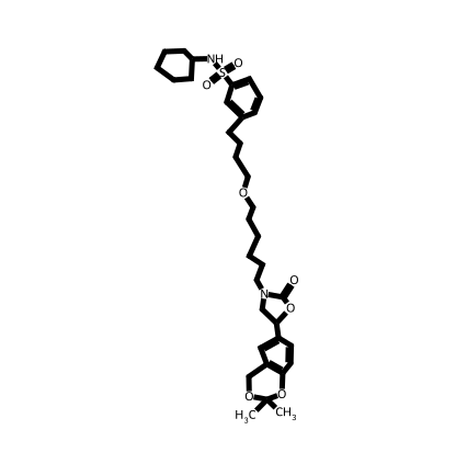 CC1(C)OCc2cc(C3CN(CCCCCCOCCCCc4cccc(S(=O)(=O)NC5CCCCC5)c4)C(=O)O3)ccc2O1